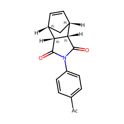 CC(=O)c1ccc(N2C(=O)[C@@H]3[C@H](C2=O)[C@@H]2C=C[C@H]3C2)cc1